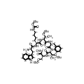 COC(=O)[C@H](COC(C)(C)C)NC(=O)[C@@H](NC(=O)[C@H](Cc1ccccc1)NC(=O)[C@@H](NC(=O)[C@H](CCCCNC(=O)OC(C)(C)C)NC(=O)[C@@H](N)Cc1c[nH]c2ccccc12)[C@@H](C)OC(C)(C)C)[C@@H](C)OC(C)(C)C